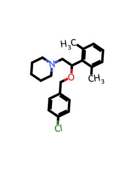 Cc1cccc(C)c1C(CN1CCCCC1)OCc1ccc(Cl)cc1